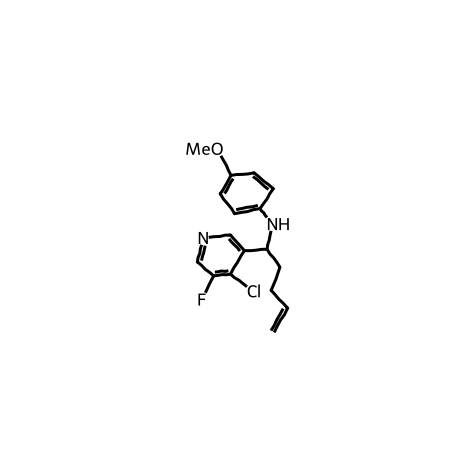 C=CCCC(Nc1ccc(OC)cc1)c1cncc(F)c1Cl